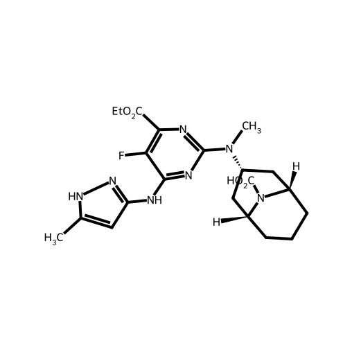 CCOC(=O)c1nc(N(C)[C@H]2C[C@H]3CCC[C@@H](C2)N3C(=O)O)nc(Nc2cc(C)[nH]n2)c1F